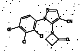 N#Cc1cnn(-c2ccc(Cl)c(Cl)c2Cl)c1N1CCC1=O